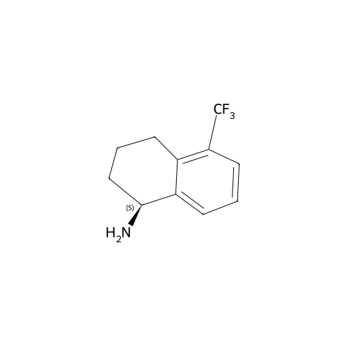 N[C@H]1CCCc2c1cccc2C(F)(F)F